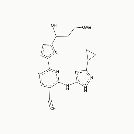 C#Cc1cnc(-c2ccc(C(O)CCOC)s2)nc1Nc1cc(C2CC2)n[nH]1